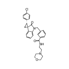 O=C(NCCN1CCOCC1)c1cccc(CN2C(=O)[C@]3(C[C@@H]3c3ccc(Cl)cc3)c3ccccc32)c1